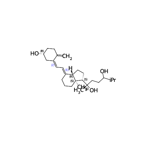 C=C1CC[C@@H](O)C/C1=C/C=C1\CCC[C@@]2(C)[C@H]1CC[C@@H]2[C@@](C)(O)CCC(O)C(C)C